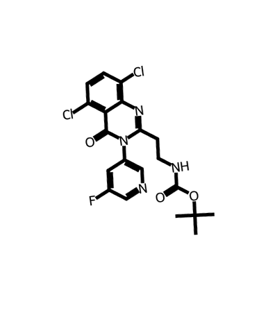 CC(C)(C)OC(=O)NCCc1nc2c(Cl)ccc(Cl)c2c(=O)n1-c1cncc(F)c1